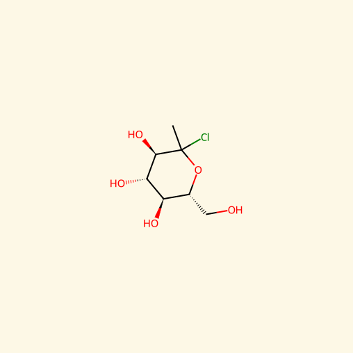 CC1(Cl)O[C@H](CO)[C@@H](O)[C@H](O)[C@H]1O